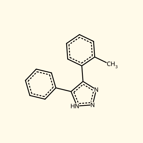 Cc1ccccc1-c1nn[nH]c1-c1ccccc1